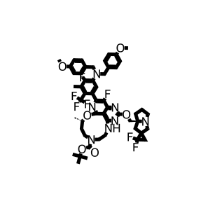 COc1ccc(CN(Cc2ccc(OC)cc2)c2cc(-c3nc4c5c(nc(OC[C@@]67CCCN6CC6(CC6(F)F)C7)nc5c3F)NCCN(C(=O)OC(C)(C)C)CC[C@H](C)O4)c(C(F)(F)F)c(C)c2F)cc1